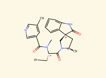 CC(C)C[C@@H](C(=O)N1C[C@]2(C[C@H]1C#N)C(=O)Nc1ccccc12)N(C)C(=O)c1cncc(C#N)c1